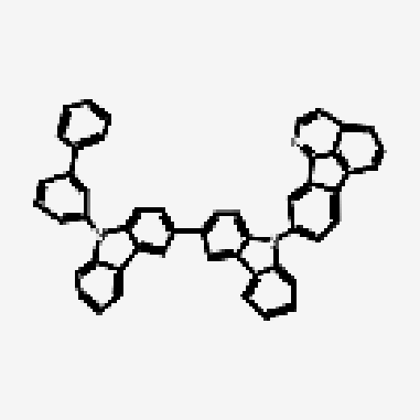 c1ccc(-c2cccc(-n3c4ccccc4c4cc(-c5ccc6c(c5)c5ccccc5n6-c5ccc6c(c5)-c5nccc7cccc-6c57)ccc43)c2)cc1